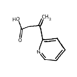 C=C(C(=O)O)c1ccccn1